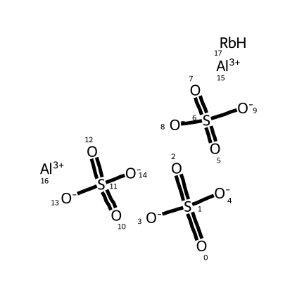 O=S(=O)([O-])[O-].O=S(=O)([O-])[O-].O=S(=O)([O-])[O-].[Al+3].[Al+3].[RbH]